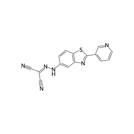 N#CC(C#N)=NNc1ccc2sc(-c3cccnc3)nc2c1